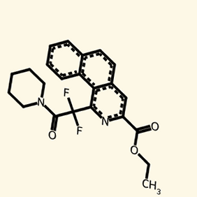 CCOC(=O)c1cc2ccc3ccccc3c2c(C(F)(F)C(=O)N2CCCCC2)n1